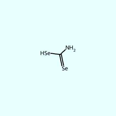 NC(=[Se])[SeH]